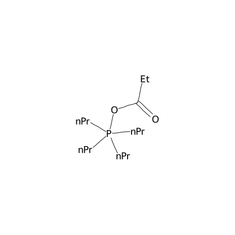 CCCP(CCC)(CCC)(CCC)OC(=O)CC